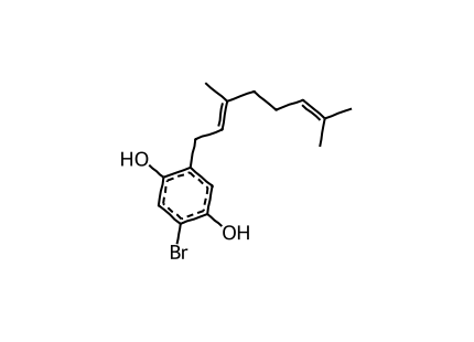 CC(C)=CCC/C(C)=C/Cc1cc(O)c(Br)cc1O